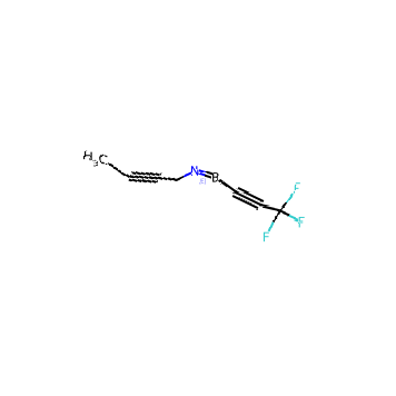 CC#CC/N=B/C#CC(F)(F)F